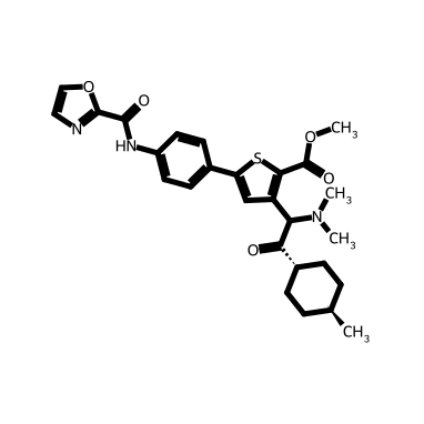 COC(=O)c1sc(-c2ccc(NC(=O)c3ncco3)cc2)cc1C(C(=O)[C@H]1CC[C@H](C)CC1)N(C)C